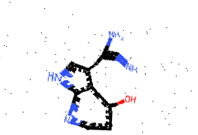 N=C(N)c1c[nH]c2nccc(O)c12